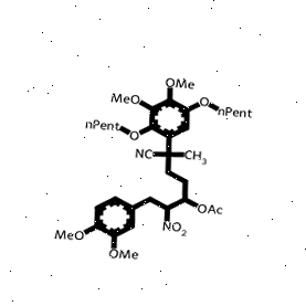 CCCCCOc1cc(C(C)(C#N)CCC(OC(C)=O)C(Cc2ccc(OC)c(OC)c2)[N+](=O)[O-])c(OCCCCC)c(OC)c1OC